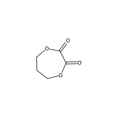 O=C1OCCCOC1=O